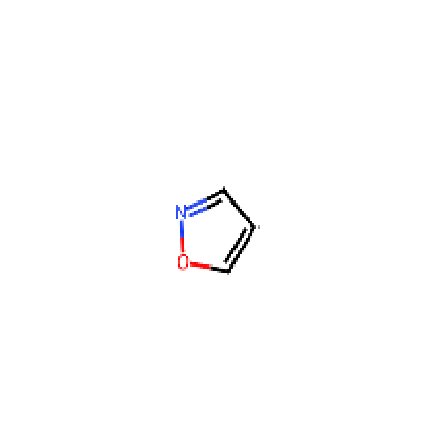 [c]1[c]noc1